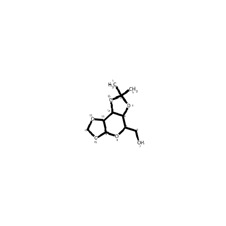 CC1(C)OC2C(CO)OC3OCOC3C2O1